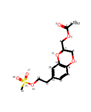 CC(C)(C)C(=O)OCC1COc2ccc(CCOS(C)(=O)=O)cc2O1